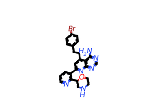 Nc1ncnc2nc(-c3cccnc3C3CNCCO3)cc(CCc3ccc(Br)cc3)c12